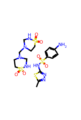 Cc1nnc(NS(=O)(=O)c2ccc(N)cc2)s1.O=S1(=O)CCN(CN2CCS(=O)(=O)NC2)CN1